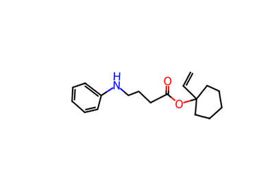 C=CC1(OC(=O)CCCNc2ccccc2)CCCCC1